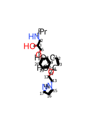 CC(C)NCC(O)COc1ccc(OCCn2cccn2)cc1.O=C(O)/C=C\C(=O)O